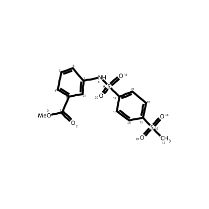 COC(=O)c1cccc(NS(=O)(=O)c2ccc(S(C)(=O)=O)cc2)c1